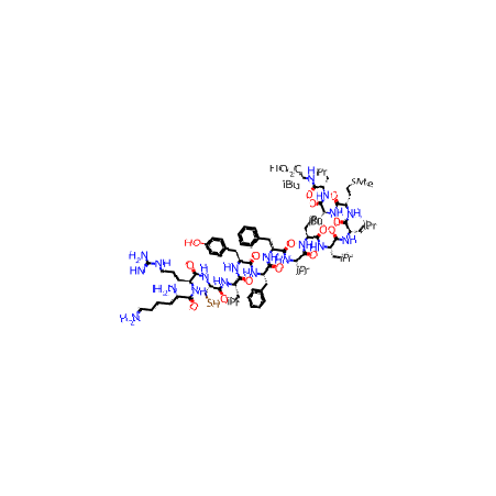 CC[C@H](C)[C@H](NC(=O)[C@H](CC(C)C)NC(=O)[C@@H](NC(=O)[C@H](CCSC)NC(=O)[C@H](CC(C)C)NC(=O)[C@H](CC(C)C)NC(=O)[C@H](CC(C)C)NC(=O)[C@@H](NC(=O)[C@H](Cc1ccccc1)NC(=O)[C@H](Cc1ccccc1)NC(=O)[C@H](Cc1ccc(O)cc1)NC(=O)[C@H](CC(C)C)NC(=O)[C@H](CS)NC(=O)[C@H](CCCNC(=N)N)NC(=O)[C@@H](N)CCCCN)C(C)C)[C@@H](C)CC)C(=O)O